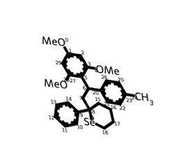 COc1cc(OC)c(C(CC2(c3ccccc3)CCCC[Se]2)c2ccc(C)cc2)c(OC)c1